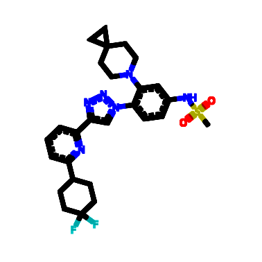 CS(=O)(=O)Nc1ccc(-n2cc(-c3cccc(C4CCC(F)(F)CC4)n3)nn2)c(N2CCC3(CC2)CC3)c1